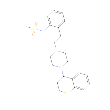 CS(=O)(=O)Nc1ccccc1CCN1CCN(C2CCSc3ccccc32)CC1